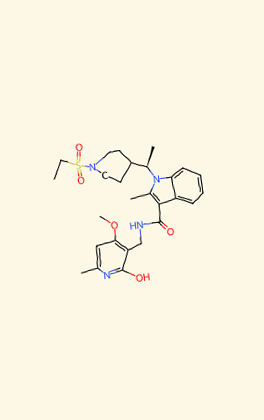 CCS(=O)(=O)N1CCC([C@@H](C)n2c(C)c(C(=O)NCc3c(OC)cc(C)nc3O)c3ccccc32)CC1